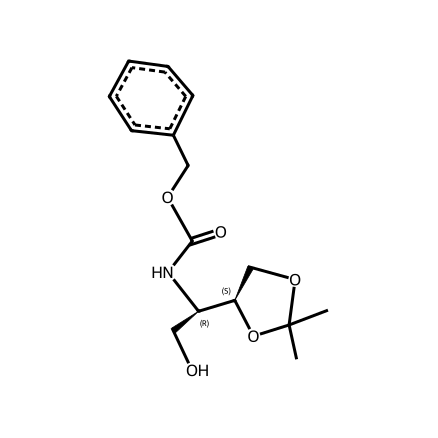 CC1(C)OC[C@H]([C@@H](CO)NC(=O)OCc2ccccc2)O1